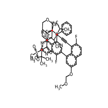 COCOc1cc(-c2nc(Oc3ccccc3)c3c(N4C5COCC4CN(C(=O)OC(C)(C)C)C5)nc(S(C)(=O)=O)nc3c2F)c2c(C#C[Si](C(C)C)(C(C)C)C(C)C)c(F)ccc2c1